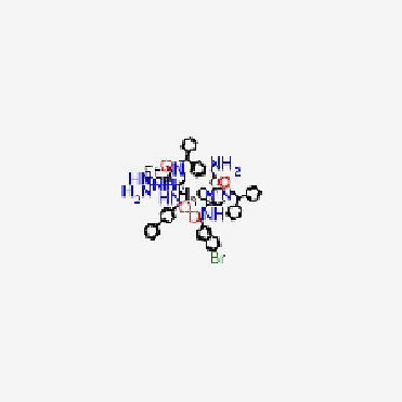 CCC(NC(=N)N)[C@@H]1N[C@H](CNC(=O)c2ccc(-c3ccccc3)cc2)CCN(CC(c2ccccc2)c2ccccc2)C1=O.CN1[C@H](CNC(=O)c2ccc3cc(Br)ccc3c2)CCN(CC(c2ccccc2)c2ccccc2)C(=O)[C@@H]1CCCN